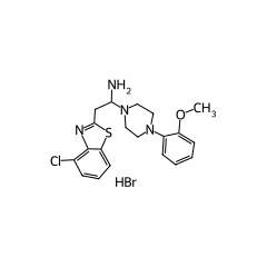 Br.COc1ccccc1N1CCN(C(N)Cc2nc3c(Cl)cccc3s2)CC1